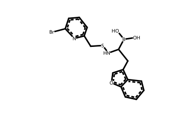 OB(O)C(Cc1coc2ccccc12)NSCc1cccc(Br)n1